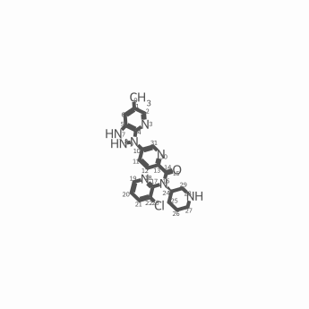 Cc1cnc2c(c1)NNN2c1ccc(C(=O)N(c2ncccc2Cl)[C@@H]2CCCNC2)nc1